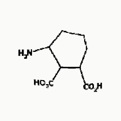 NC1CCCC(C(=O)O)C1C(=O)O